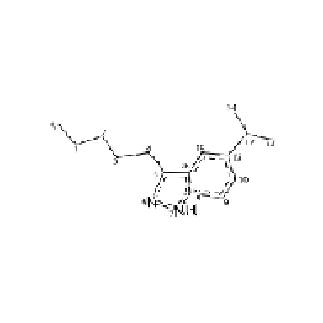 CCCCCc1n[nH]c2ccc(C(C)C)cc12